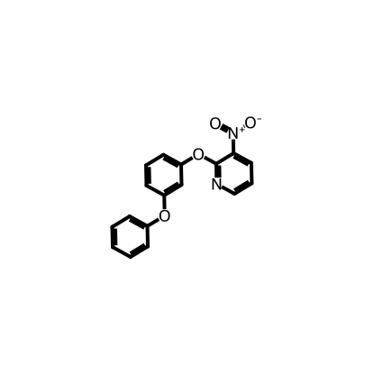 O=[N+]([O-])c1cccnc1Oc1cccc(Oc2ccccc2)c1